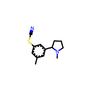 Cc1cc(SC#N)cc(C2CCCN2C)c1